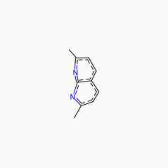 Cc1ccc2ccc(C)nc2n1